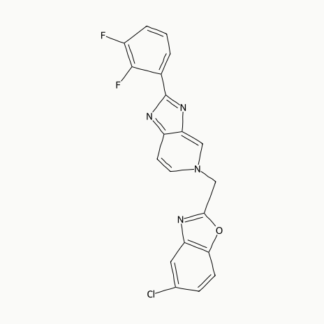 Fc1cccc(-c2nc3ccn(Cc4nc5cc(Cl)ccc5o4)cc-3n2)c1F